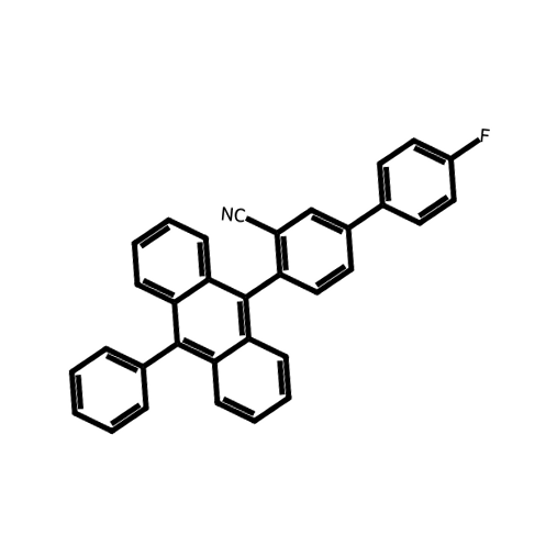 N#Cc1cc(-c2ccc(F)cc2)ccc1-c1c2ccccc2c(-c2ccccc2)c2ccccc12